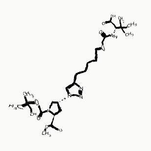 COC(=O)[C@@H]1C[C@@H](n2cc(CCCCCOC(=O)N[C@H](C(=O)O)C(C)(C)C)nn2)CN1C(=O)OC(C)(C)C